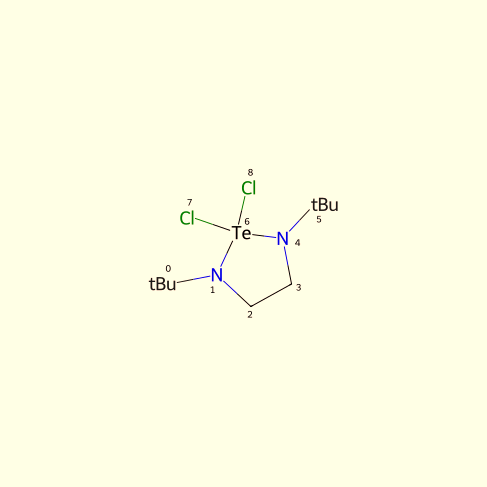 CC(C)(C)N1CCN(C(C)(C)C)[Te]1(Cl)Cl